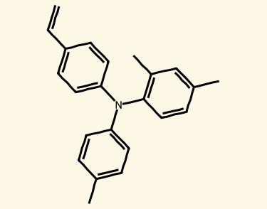 C=Cc1ccc(N(c2ccc(C)cc2)c2ccc(C)cc2C)cc1